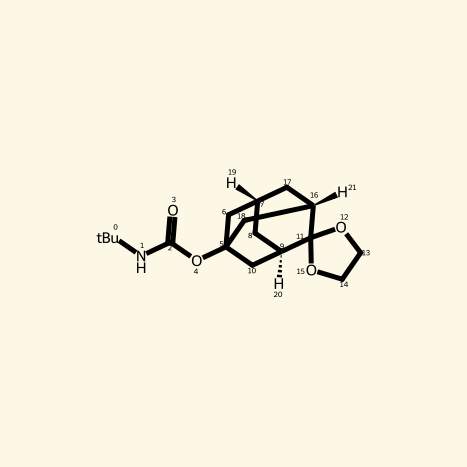 CC(C)(C)NC(=O)OC12C[C@H]3C[C@H](C1)C1(OCCO1)[C@@H](C3)C2